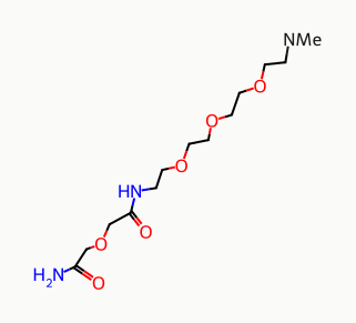 CNCCOCCOCCOCCNC(=O)COCC(N)=O